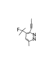 CC#Cc1nnc(C)cc1C(C)(C)F